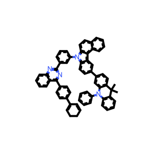 CC1(C)c2ccccc2N(c2ccccc2)c2cc(-c3ccc4c(c3)c3c5ccccc5ccc3n4-c3cccc(-c4nc(-c5ccc(C6=CCCC=C6)cc5)c5ccccc5n4)c3)ccc21